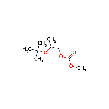 COC(=O)OCC(C)OC(C)(C)C